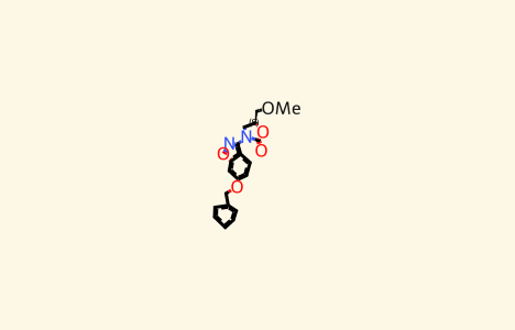 COC[C@@H]1CN(c2noc3cc(OCc4ccccc4)ccc23)C(=O)O1